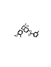 COc1ccc([C@@]23CC=C(OC(=O)c4cccc(C)c4)C[C@@H]2N(C)CC3)cc1C